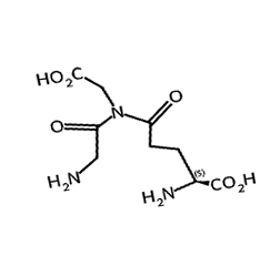 NCC(=O)N(CC(=O)O)C(=O)CC[C@H](N)C(=O)O